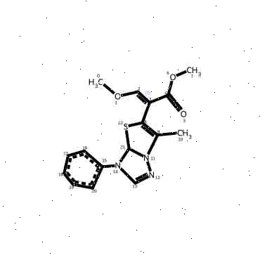 CO/C=C(/C(=O)OC)C1=C(C)N2N=CN(c3ccccc3)C2S1